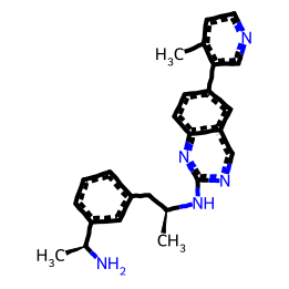 Cc1ccncc1-c1ccc2nc(N[C@@H](C)Cc3cccc([C@H](C)N)c3)ncc2c1